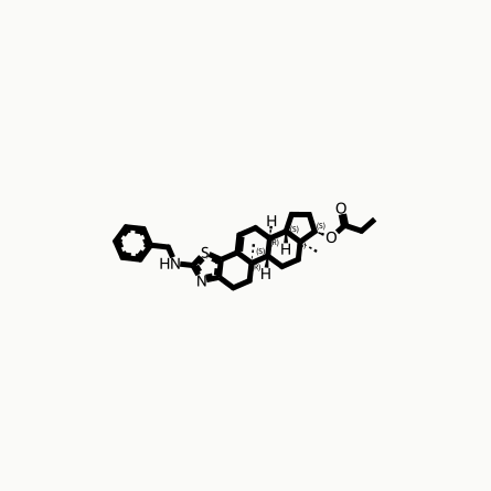 CCC(=O)O[C@H]1CC[C@H]2[C@@H]3CC=C4c5sc(NCc6ccccc6)nc5CC[C@]4(C)[C@H]3CC[C@]12C